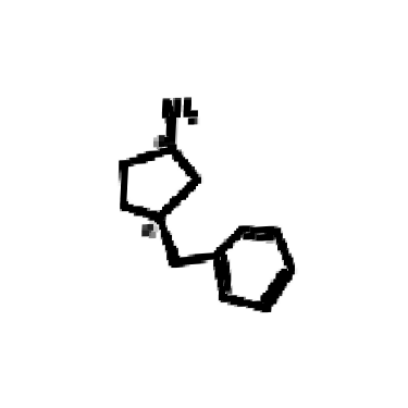 N[C@@H]1CC[C@H](Cc2ccccc2)C1